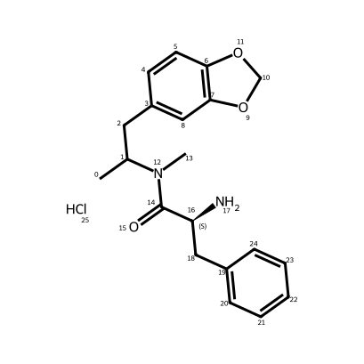 CC(Cc1ccc2c(c1)OCO2)N(C)C(=O)[C@@H](N)Cc1ccccc1.Cl